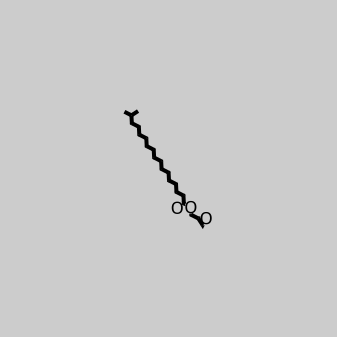 CC(C)CCCCCCCCCCCCCCC(=O)OCC1CO1